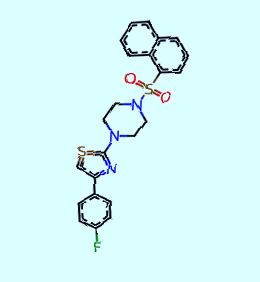 O=S(=O)(c1cccc2ccccc12)N1CCN(c2nc(-c3ccc(F)cc3)cs2)CC1